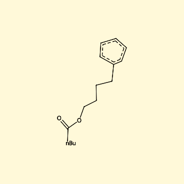 CCCCC(=O)OCCCCc1ccccc1